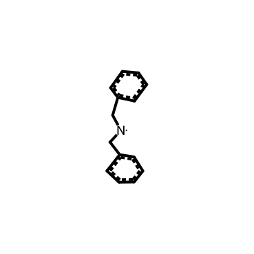 c1ccc(C[N]Cc2ccccc2)cc1